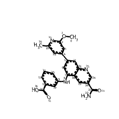 COc1cc(-c2cc(Nc3cccc(C(=O)O)c3)c3cc(C(N)=O)cnc3c2)cc(C)n1